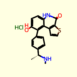 CN[C@H](C)c1ccc(-c2c(O)ccc3[nH]c(=O)c4sccc4c23)cc1.Cl